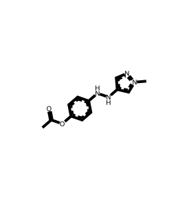 CC(=O)Oc1ccc(NNc2cnn(C)c2)cc1